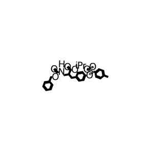 Cc1ccc(S(=O)(=O)Oc2ccc(CC(CNC(=O)OCc3ccccc3)C(=O)OC(C)C)cc2)cc1